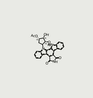 CC(=O)O[C@H]1CC(n2c3ccccc3c3c4c(c5c6ccccc6[nH]c5c32)C(=O)NC4=O)[C@H](O)[C@@H]1O